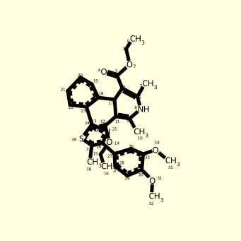 CCOC(=O)C1=C(C)NC(C)=C(C(=O)OCC)C1c1ccccc1-c1nc(-c2ccc(OC)c(OC)c2)c(C)s1